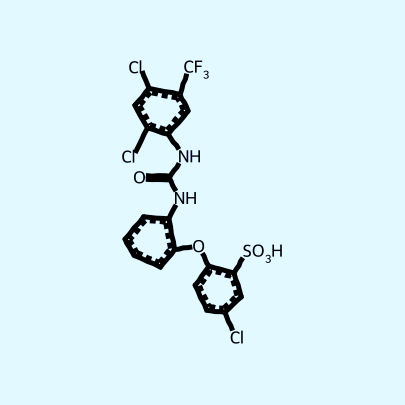 O=C(Nc1cc(C(F)(F)F)c(Cl)cc1Cl)Nc1ccccc1Oc1ccc(Cl)cc1S(=O)(=O)O